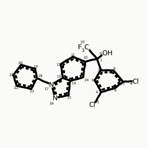 OC(c1cc(Cl)cc(Cl)c1)(c1ccc2c(cnn2-c2ccccc2)c1)C(F)(F)F